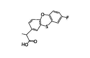 CC(C(=O)O)c1ccc2c(c1)Sc1cc(F)ccc1O2